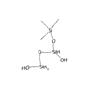 C[Si](C)(C)O[SiH](O)O[SiH2]O